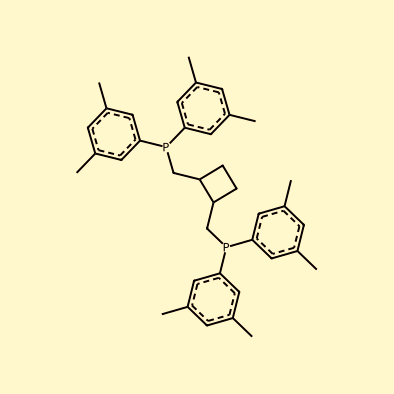 Cc1cc(C)cc(P(CC2CCC2CP(c2cc(C)cc(C)c2)c2cc(C)cc(C)c2)c2cc(C)cc(C)c2)c1